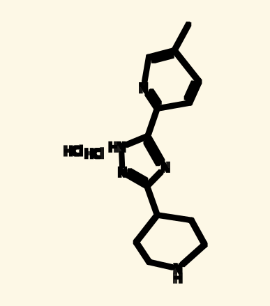 Cc1ccc(-c2nc(C3CCNCC3)n[nH]2)nc1.Cl.Cl